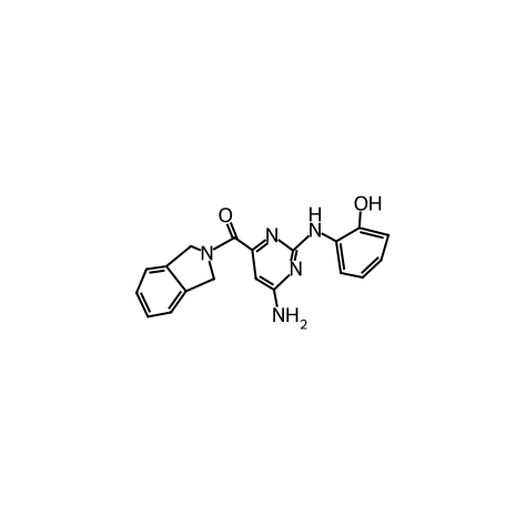 Nc1cc(C(=O)N2Cc3ccccc3C2)nc(Nc2ccccc2O)n1